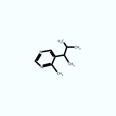 Cc1ncncc1C(C)C(C)C